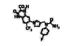 NC(=O)N(Cc1ccn(-c2cc3nc(C(=O)O)c(=O)[nH]c3cc2C(F)(F)F)c1)c1ccc(F)cc1